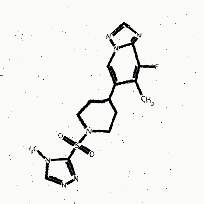 Cc1c(C2CCN(S(=O)(=O)c3nncn3C)CC2)cn2ncnc2c1F